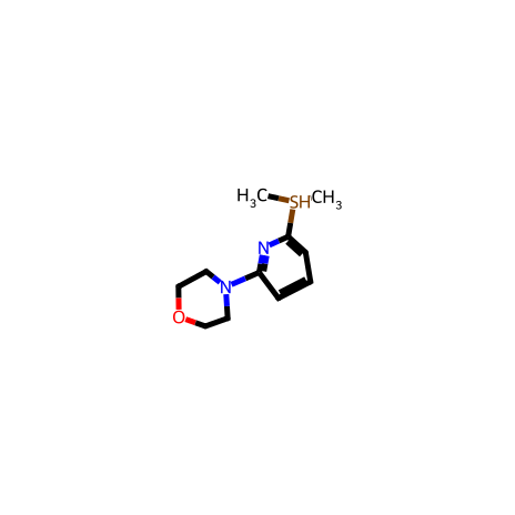 C[SH](C)c1cccc(N2CCOCC2)n1